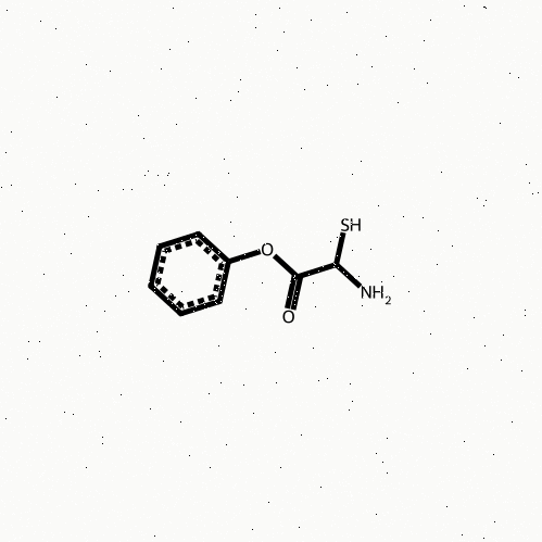 NC(S)C(=O)Oc1ccccc1